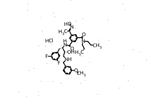 CCCN(CCC)C(=O)c1cc(C(=O)N[C@@H](Cc2cc(F)cc(F)c2)[C@H](O)CNCc2cccc(OC)c2)cc(/C(C)=N/O)c1.Cl